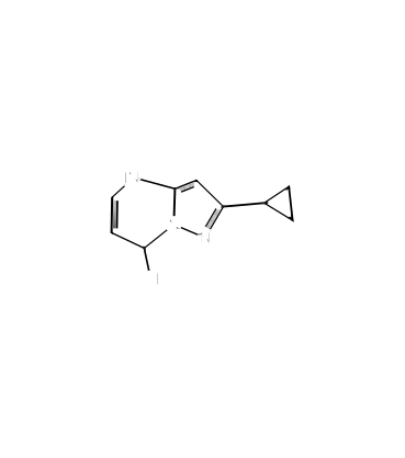 ClC1C=CNc2cc(C3CC3)nn21